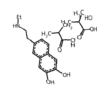 CC(C)C(=O)O.CC(C)C(=O)O.CCNCCc1ccc2cc(O)c(O)cc2c1.Cl